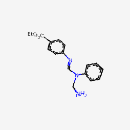 CCOC(=O)c1ccc(N=CN(CN)c2ccccc2)cc1